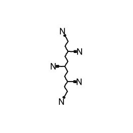 N#CCCC(C#N)CCC(C#N)CCC(C#N)CCC#N